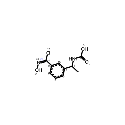 CC(NC(=O)O)c1cccc(/C(Cl)=N\O)c1